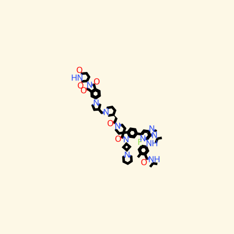 Cc1cc(F)c(Nc2nc(-c3ccc4c(c3)N([C@H]3C[C@@H](N5CCCCC5)C3)C(=O)C43CCN(C(=O)C[C@@H]4CCCN(CC5CCN(c6ccc7c(c6)C(=O)N(C6CCC(=O)NC6=O)C7=O)C5)C4)CC3)cc3ncn(C(C)C)c23)cc1C(=O)NC(C)C